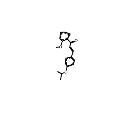 COc1ccccc1C(=O)/C=C/c1ccc(OC(C)C)cc1